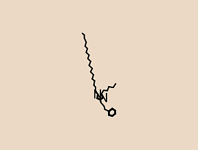 CCCCCCCCCCCCCCCCCCCn1cc(CCCc2ccccc2)nc1CCCCC